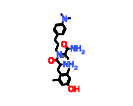 Cc1cc(O)cc(C)c1CC(N)C(=O)N(CCCc1ccc(N(C)C)cc1)[C@H](C)C(N)=O